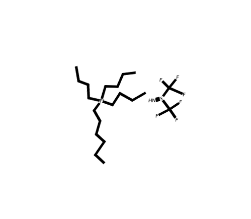 CCCCCC[P+](CCCC)(CCCC)CCCC.N=S(C(F)(F)F)C(F)(F)F